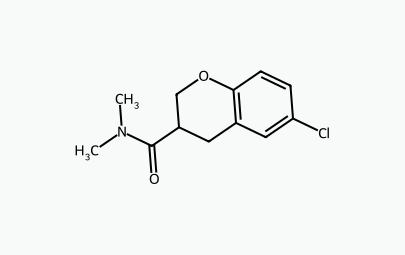 CN(C)C(=O)C1COc2ccc(Cl)cc2C1